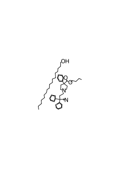 CCCCCCCCCCCCCCCCCCO.CCCCOC(=O)C1(c2ccccc2)CCN(CCC(C#N)(c2ccccc2)c2ccccc2)CC1